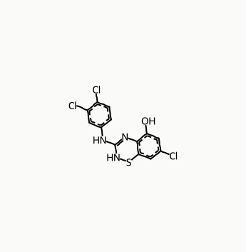 Oc1cc(Cl)cc2c1N=C(Nc1ccc(Cl)c(Cl)c1)NS2